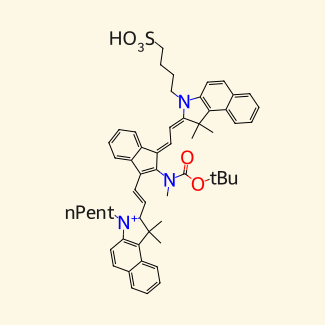 CCCCC[N+]1=C(/C=C/C2=C(N(C)C(=O)OC(C)(C)C)C(=C/C=C3/N(CCCCS(=O)(=O)O)c4ccc5ccccc5c4C3(C)C)/c3ccccc32)C(C)(C)c2c1ccc1ccccc21